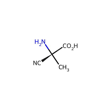 C[C@@](N)(C#N)C(=O)O